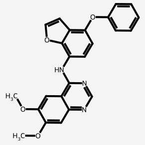 COc1cc2ncnc(Nc3ccc(Oc4ccccc4)c4ccoc34)c2cc1OC